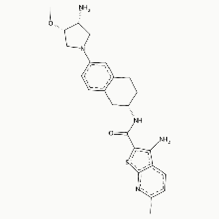 CO[C@H]1CN(c2ccc3c(c2)CC[C@H](NC(=O)c2sc4nc(C)ccc4c2N)C3)C[C@H]1N